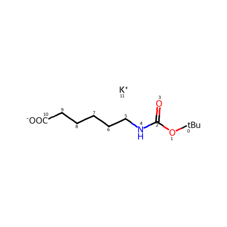 CC(C)(C)OC(=O)NCCCCCC(=O)[O-].[K+]